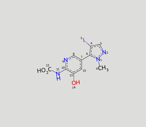 Cn1ncc(I)c1-c1cnc(NC(=O)O)c(O)c1